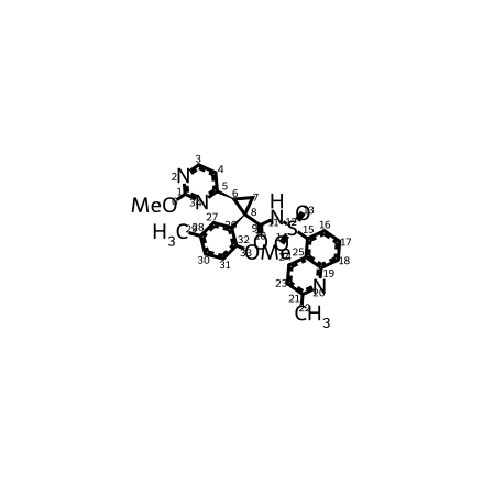 COc1nccc([C@H]2C[C@@]2(C(=O)NS(=O)(=O)c2cccc3nc(C)ccc23)c2cc(C)ccc2OC)n1